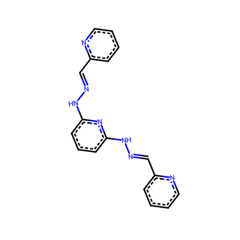 C(=NNc1cccc(NN=Cc2ccccn2)n1)c1ccccn1